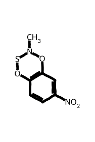 Cn1oc2cc([N+](=O)[O-])ccc2os1